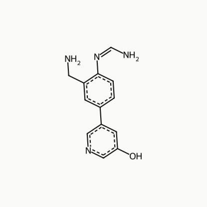 N/C=N\c1ccc(-c2cncc(O)c2)cc1CN